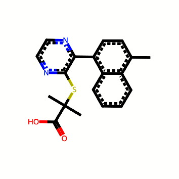 Cc1ccc(-c2nccnc2SC(C)(C)C(=O)O)c2ccccc12